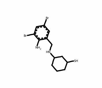 Nc1c(Br)cc(Br)cc1CNC1CCCC(S)C1